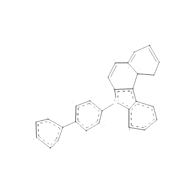 C1=CCC2C(=C1)C=Cc1c2c2ccccc2n1-c1ccc(-c2ccccc2)cc1